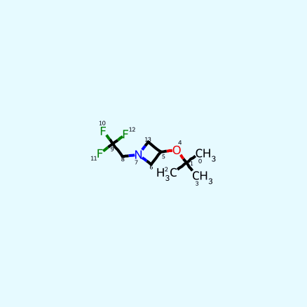 CC(C)(C)OC1CN(CC(F)(F)F)C1